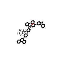 CC1(C)c2cc(-c3cc4ccccc4c4ccccc34)ccc2-c2ccc(N(c3ccc(-c4ccc5sc6ccccc6c5c4)cc3)c3ccccc3-c3ccccc3)cc21